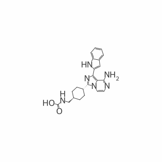 Nc1nccn2c1c(-c1cc3ccccc3[nH]1)nc2[C@H]1CC[C@H](CNC(=O)O)CC1